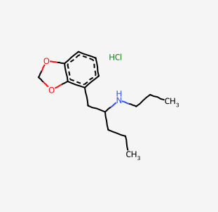 CCCNC(CCC)Cc1cccc2c1OCO2.Cl